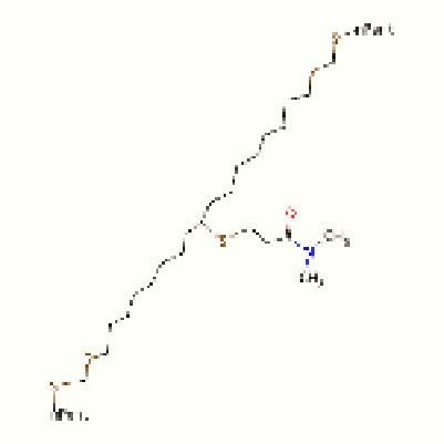 CCCCCSCSCCCCCCCCC(CCCCCCCCSCSCCCCC)SCCC(=O)N(C)C